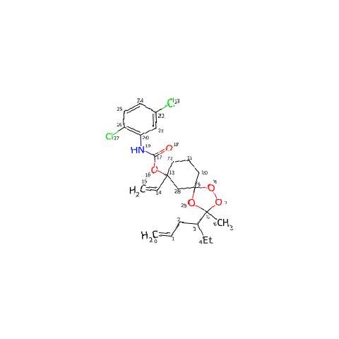 C=CCC(CC)C1(C)OOC2(CCCC(C=C)(OC(=O)Nc3cc(Cl)ccc3Cl)C2)O1